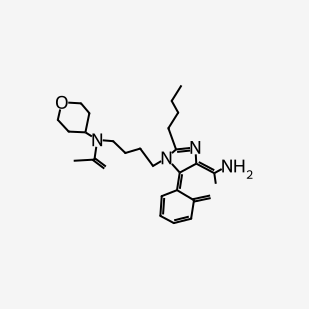 C=C(C)N(CCCCn1c(CCCC)nc(=C(/C)N)/c1=c1/ccccc1=C)C1CCOCC1